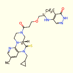 C[C@@H](COCCC(=O)N1CCN2c3ncc(C#N)cc3N(CC3CC3)C(=S)[C@H]2C1)Nc1cn[nH]c(=O)c1C(F)(F)F